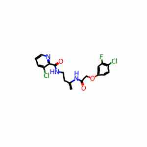 C=C(CCNC(=O)c1ncccc1Cl)NC(=O)COc1ccc(Cl)c(F)c1